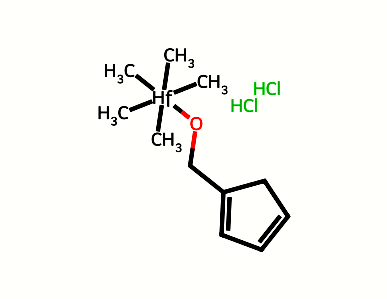 Cl.Cl.[CH3][Hf]([CH3])([CH3])([CH3])([CH3])[O]CC1=CC=CC1